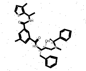 Cc1cc(C(=O)NC(C)c2sccc2C)cc(C(=O)N[C@@H](Cc2ccccc2)[C@H](O)CN(C)[C@@H](C)c2ccccc2)c1